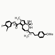 COc1ccc(CC[C@H](C)[C@H]2C=Cc3c(cn(C)c3C(=O)Nc3ccc(F)c(F)c3)S(=N)(=O)N2)cc1